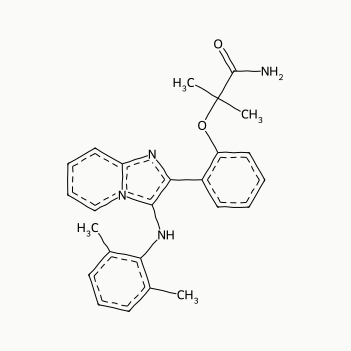 Cc1cccc(C)c1Nc1c(-c2ccccc2OC(C)(C)C(N)=O)nc2ccccn12